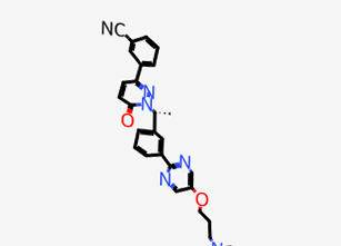 C[C@H](c1cccc(-c2ncc(OCCCN(C)C)cn2)c1)n1nc(-c2cccc(C#N)c2)ccc1=O